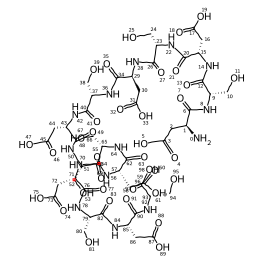 N[C@@H](CC(=O)O)C(=O)N[C@@H](CO)C(=O)N[C@@H](CC(=O)O)C(=O)N[C@@H](CO)C(=O)N[C@@H](CC(=O)O)C(=O)N[C@@H](CO)C(=O)N[C@@H](CC(=O)O)C(=O)N[C@@H](CO)C(=O)N[C@@H](CC(=O)O)C(=O)N[C@@H](CO)C(=O)N[C@@H](CC(=O)O)C(=O)N[C@@H](CO)C(=O)N[C@@H](CC(=O)O)C(=O)N[C@@H](CO)C(=O)O